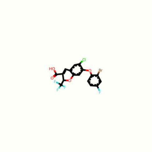 O=C(O)C1=Cc2cc(Cl)c(Oc3ccc(F)cc3Br)cc2OC1C(F)(F)F